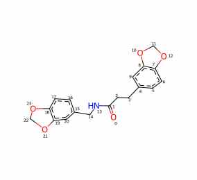 O=C(CCc1ccc2c(c1)OCO2)NCc1ccc2c(c1)OCO2